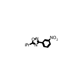 CC(C)c1nc(-c2cccc([N+](=O)[O-])c2)no1